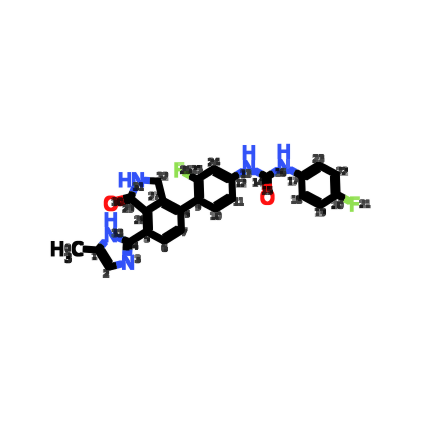 Cc1cnc(-c2ccc(-c3ccc(NC(=O)Nc4ccc(F)cc4)cc3F)c3c2C(=O)NC3)[nH]1